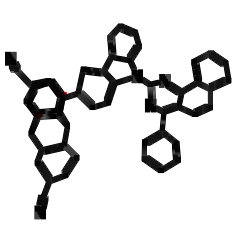 N#Cc1ccc2c(c1)C1c3cc(C#N)ccc3C2c2c(-c3ccc4c(c3)c3ccccc3n4-c3nc(-c4ccccc4)c4ccc5ccccc5c4n3)cccc21